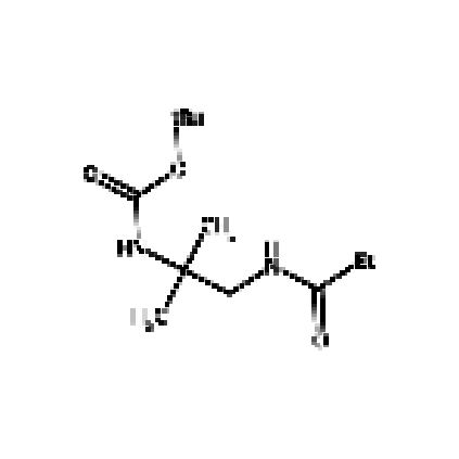 [CH2]CC(=O)NCC(C)(C)NC(=O)OC(C)(C)C